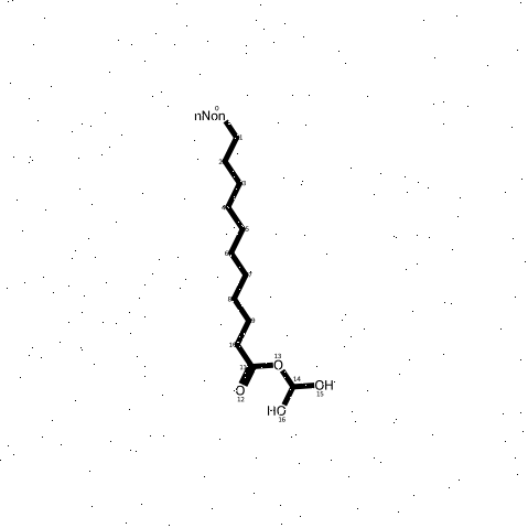 CCCCCCCCCCCCCCCCCCCC(=O)OC(O)O